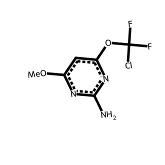 COc1cc(OC(F)(F)Cl)nc(N)n1